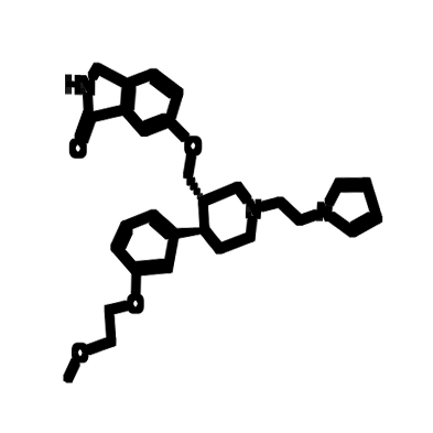 COCCOc1cccc([C@@H]2CCN(CCn3cccc3)C[C@H]2COc2ccc3c(c2)C(=O)NC3)c1